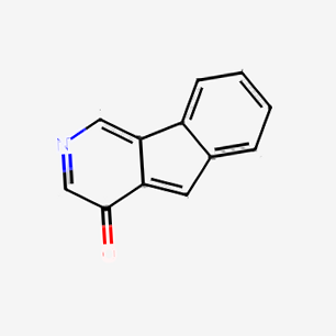 O=C1C=NC=C2C1=Cc1ccccc12